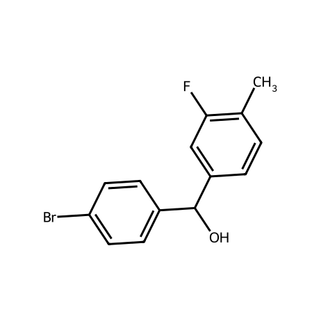 Cc1ccc(C(O)c2ccc(Br)cc2)cc1F